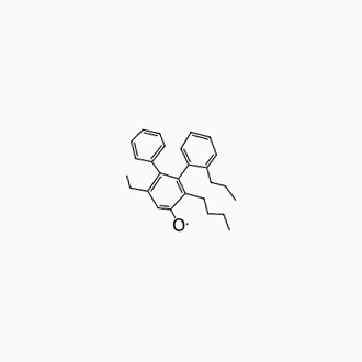 CCCCc1c([O])cc(CC)c(-c2ccccc2)c1-c1ccccc1CCC